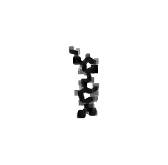 CCOc1ccnc(CSc2ccc([N+](=O)[O-])cc2C)c1